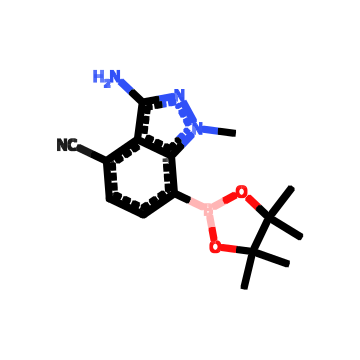 Cn1nc(N)c2c(C#N)ccc(B3OC(C)(C)C(C)(C)O3)c21